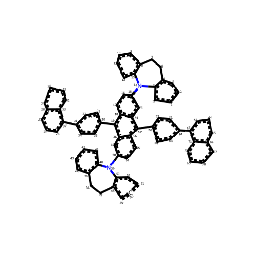 c1ccc2c(c1)CCc1ccccc1N2c1ccc2c(-c3ccc(-c4cccc5ccccc45)cc3)c3cc(N4c5ccccc5CCc5ccccc54)ccc3c(-c3ccc(-c4cccc5ccccc45)cc3)c2c1